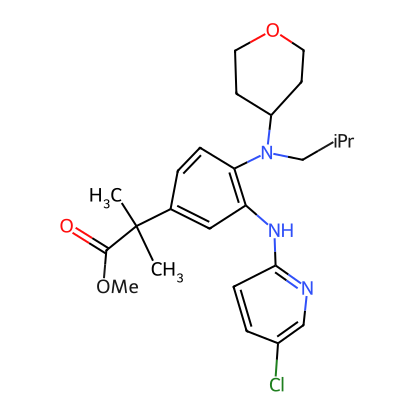 COC(=O)C(C)(C)c1ccc(N(CC(C)C)C2CCOCC2)c(Nc2ccc(Cl)cn2)c1